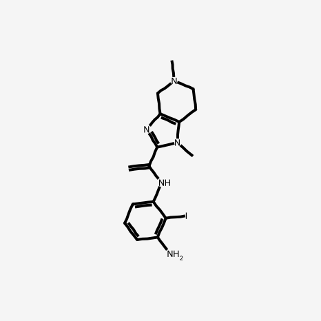 C=C(Nc1cccc(N)c1I)c1nc2c(n1C)CCN(C)C2